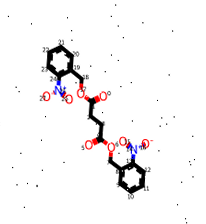 O=C(CCC(=O)OCc1ccccc1[N+](=O)[O-])OCc1ccccc1[N+](=O)[O-]